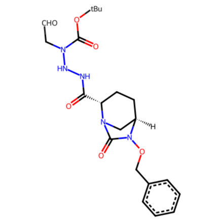 CC(C)(C)OC(=O)N(CC=O)NNC(=O)[C@@H]1CC[C@@H]2CN1C(=O)N2OCc1ccccc1